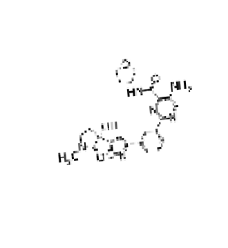 CN1CC[C@@](O)(c2cc(-c3cccc(-c4ncc(N)c(C(=O)N[C@@H]5CCOC5)n4)c3)no2)C1=O